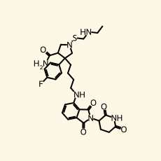 CCNCSN1CC(C(N)=O)C(CCCCNc2cccc3c2C(=O)N(C2CCC(=O)NC2=O)C3=O)(c2ccc(F)cc2)C1